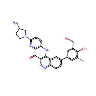 CCC(=O)c1cnc2ccc(-c3cc(Cl)c(O)c(CO)c3)cc2c1Nc1ccc(N2CCC(N)C2)nc1